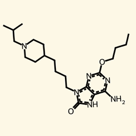 CCCCOc1nc(N)c2[nH]c(=O)n(CCCCC3CCN(CC(C)C)CC3)c2n1